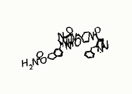 Cn1ncc(C(=O)N2CCC(O)(Cn3cnn4c(-c5ccc6c(c5)CC(OC(N)=O)C6)cnc4c3=O)CC2)c1Cc1ccccc1